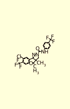 CC(=O)C1(C)CN(C(=O)Nc2ccc(C(F)(F)F)cc2)N=C1c1ccc(C(F)(F)F)c(Cl)c1